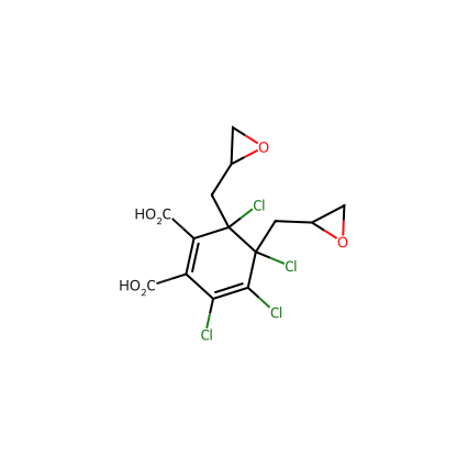 O=C(O)C1=C(C(=O)O)C(Cl)(CC2CO2)C(Cl)(CC2CO2)C(Cl)=C1Cl